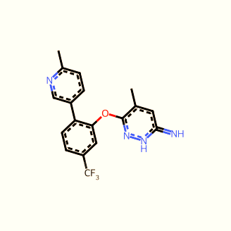 Cc1ccc(-c2ccc(C(F)(F)F)cc2Oc2n[nH]c(=N)cc2C)cn1